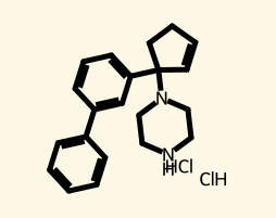 C1=CC(c2cccc(-c3ccccc3)c2)(N2CCNCC2)CC1.Cl.Cl